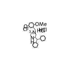 COc1ccc(OC(F)(F)F)cc1CN1CCNC(C(c2ccccc2)c2ccccc2)C1.Cl.Cl